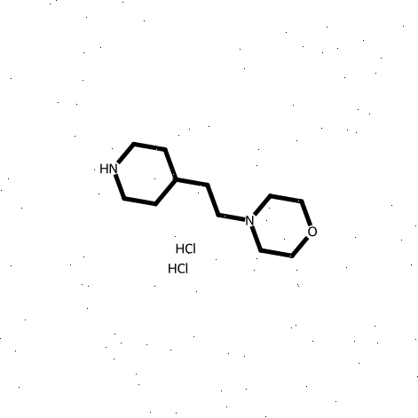 C1CC(CCN2CCOCC2)CCN1.Cl.Cl